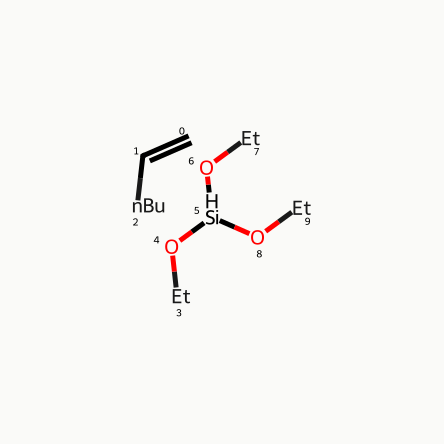 C=CCCCC.CCO[SiH](OCC)OCC